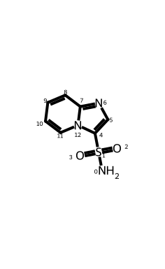 NS(=O)(=O)c1cnc2ccccn12